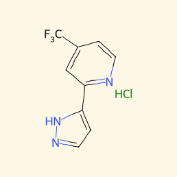 Cl.FC(F)(F)c1ccnc(-c2ccn[nH]2)c1